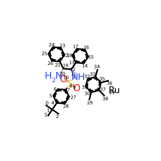 CC(C)(C)c1ccc(S(=O)(=O)N[C@H](c2ccccc2)[C@H](N)c2ccccc2)cc1.Cc1ccc(C)c(C)c1C.[Ru]